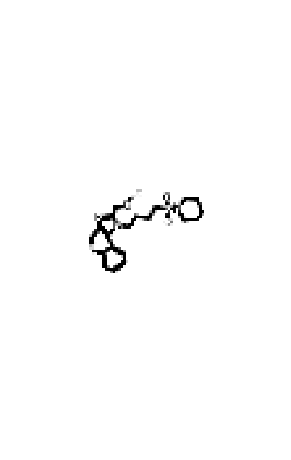 CCOCc1nc2cnc3ccccc3c2n1CCCCS(=O)(=O)N1CCCCC1